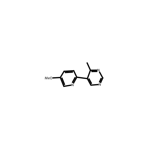 COc1ccc(-c2cn[c]nc2C)nc1